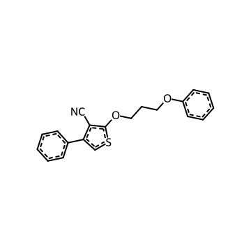 N#Cc1c(-c2ccccc2)csc1OCCCOc1ccccc1